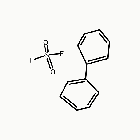 O=S(=O)(F)F.c1ccc(-c2ccccc2)cc1